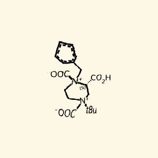 CC(C)(C)[N+]1(C(=O)[O-])CC[N+](Cc2ccccc2)(C(=O)[O-])[C@H](C(=O)O)C1